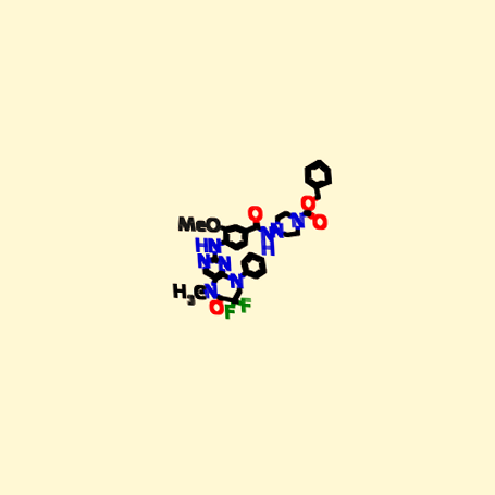 COc1cc(C(=O)NN2CCN(C(=O)OCc3ccccc3)CC2)ccc1Nc1ncc2c(n1)N(c1ccccc1)CC(F)(F)C(=O)N2C